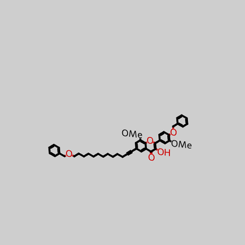 COc1cc(-c2oc3c(OC)cc(C#CCCCCCCCCCCCOCc4ccccc4)cc3c(=O)c2O)ccc1OCc1ccccc1